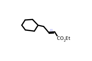 CCOC(=O)/C=C/CC1CCCCC1